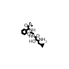 CN(C)C(=O)C(NC(=O)CNC(=O)C(O)C(N)CC1CC1)c1ccccc1